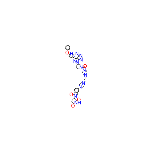 Nc1ncnc2c1c(-c1ccc(Oc3ccccc3)cc1)nn2C1CCCN(C(=O)N2CCN(CCCN3CCN(c4ccc5c(c4)CN(C4CCC(=O)NC4=O)C5=O)CC3)CC2)C1